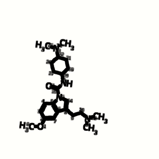 COc1ccc2c(c1)c(CCN(C)C)cn2C(=O)NC1CCC(N(C)C)CC1